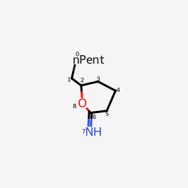 CCCCCCC1CCCC(=N)O1